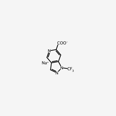 O=C([O-])c1cc2c(cn1)cnn2C(F)(F)F.[Na+]